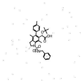 Cc1ccc(-c2c(C)c3c(c(C)c2[C@H](OC(C)(C)C)C(=O)O)N(S(=O)(=O)NCc2ccccc2)[C@H](C)C3)cc1